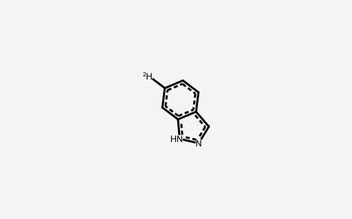 [2H]c1ccc2cn[nH]c2c1